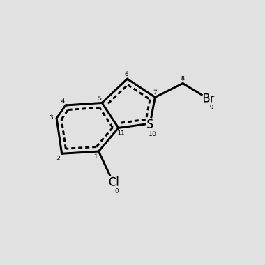 Clc1cccc2cc(CBr)sc12